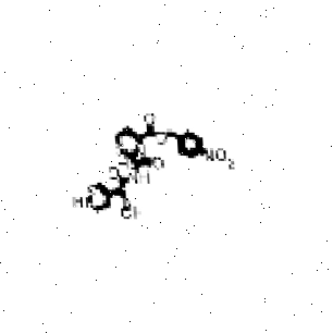 O=C(NC1C(=O)N2C(C(=O)OCc3ccc([N+](=O)[O-])cc3)=CCS[C@@H]12)C(=NO)C1=CSNCC1